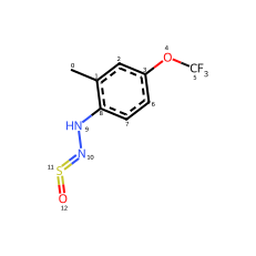 Cc1cc(OC(F)(F)F)ccc1NN=S=O